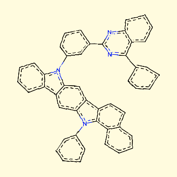 c1ccc(-c2nc(-c3cccc(-n4c5ccccc5c5cc6c(cc54)c4ccc5ccccc5c4n6-c4ccccc4)c3)nc3ccccc23)cc1